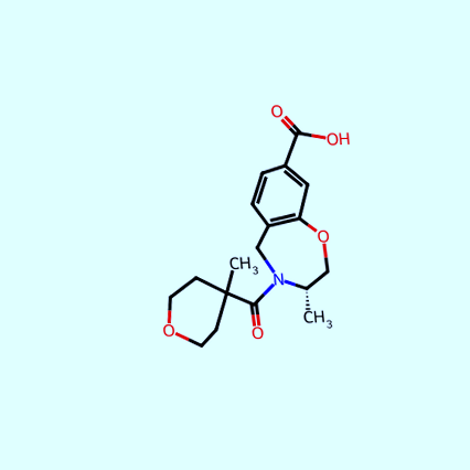 C[C@H]1COc2cc(C(=O)O)ccc2CN1C(=O)C1(C)CCOCC1